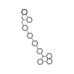 C(=C(\Cc1ccc(-c2ccc(-c3ccc(-c4ccc(N(c5ccccc5)c5ccccc5-c5ccccc5)cc4)cc3)cc2)cc1)c1ccccc1-c1ccccc1)/c1ccccc1